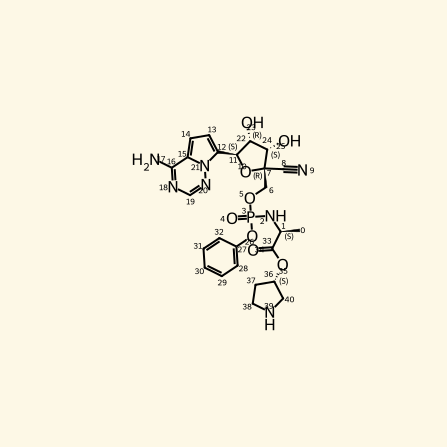 C[C@H](NP(=O)(OC[C@@]1(C#N)O[C@@H](c2ccc3c(N)ncnn23)[C@H](O)[C@@H]1O)Oc1ccccc1)C(=O)O[C@H]1CCNC1